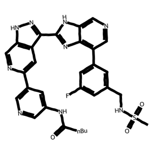 CCCCC(=O)Nc1cncc(-c2cc3c(-c4nc5c(-c6cc(F)cc(CNS(C)(=O)=O)c6)cncc5[nH]4)n[nH]c3cn2)c1